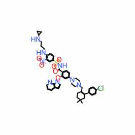 CC1(C)CCC(CN2CCN(c3ccc(C(=O)NS(=O)(=O)c4ccc(NCCCNC5CC5)c([N+](=O)[O-])c4)c(On4ccc5cccnc54)c3)CC2)=C(c2ccc(Cl)cc2)C1